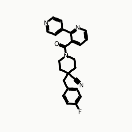 N#CC1(Cc2ccc(F)cc2)CCN(C(=O)c2cccnc2-c2ccncc2)CC1